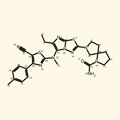 CCc1nc2sc(N3CCC4(CCCN4C(N)=O)C3)nn2c1N(C)c1nc(-c2ccc(C)cc2)c(C#N)s1